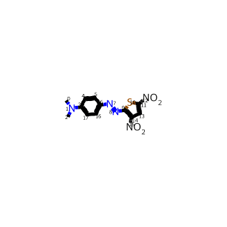 CN(C)c1ccc(N=Nc2sc([N+](=O)[O-])cc2[N+](=O)[O-])cc1